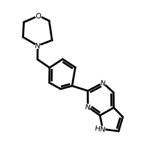 c1cc2cnc(-c3ccc(CN4CCOCC4)cc3)nc2[nH]1